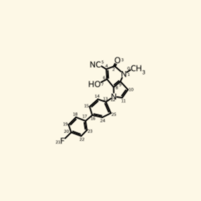 Cn1c(=O)c(C#N)c(O)c2c1ccn2-c1ccc(-c2ccc(F)cc2)cc1